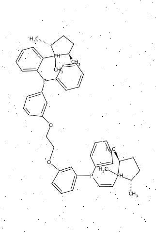 C[C@@H]1CC[C@@H](C)[PH]1(C)c1ccccc1P(c1ccccc1)c1cccc(OCCOc2cccc(P(/C=C\[PH]3(C)[C@@H](C)CC[C@@H]3C)c3ccccc3)c2)c1